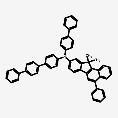 CC1(C)c2cc(N(c3ccc(-c4ccccc4)cc3)c3ccc(-c4ccc(-c5ccccc5)cc4)cc3)ccc2-c2cc(-c3ccccc3)c3ccccc3c21